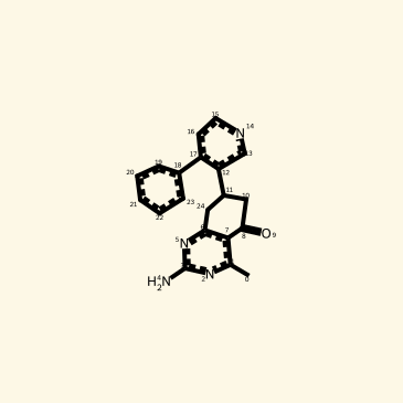 Cc1nc(N)nc2c1C(=O)CC(c1cnccc1-c1ccccc1)C2